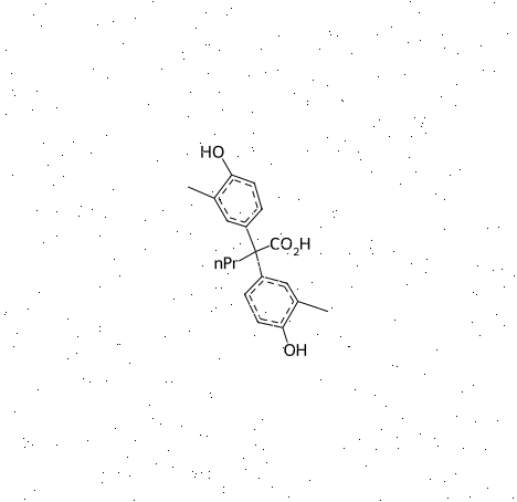 [CH2]CCC(C(=O)O)(c1ccc(O)c(C)c1)c1ccc(O)c(C)c1